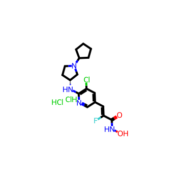 Cl.Cl.O=C(NO)C(F)=Cc1cnc(N[C@@H]2CCN(C3CCCC3)C2)c(Cl)c1